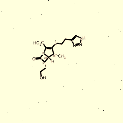 C[C@H]1C(SCCc2c[nH]nn2)=C(C(=O)O)N2C(=O)[C@@H](CCO)[C@@H]12